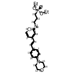 C\C=C/C(C=Cc1ccc(N2CCOCC2)cc1)=C\C=N\CCCP(=O)(OCC)OCC